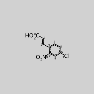 O=C(O)/C=C/c1ccc(Cl)cc1[N+](=O)[O-]